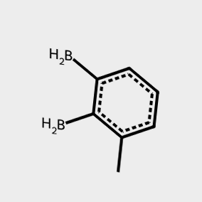 Bc1cccc(C)c1B